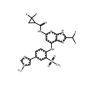 Cn1cnc(-c2ccc(Nc3cc(NC(=O)C4CC4(F)F)nc4[nH]c(C(F)F)nc34)c(S(C)(=O)=O)c2)c1